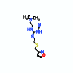 CN(C)CCN/C(=N/CCSCc1ccon1)NC#N